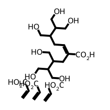 C=CC(=O)O.C=CC(=O)O.C=CC(=O)O.O=C(O)C(=CCC(CO)C(CO)CO)CC(CO)C(CO)CO